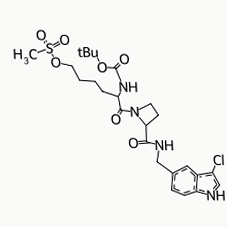 CC(C)(C)OC(=O)NC(CCCCOS(C)(=O)=O)C(=O)N1CCC1C(=O)NCc1ccc2[nH]cc(Cl)c2c1